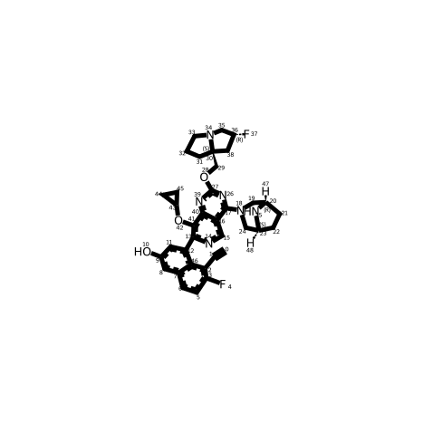 C#Cc1c(F)ccc2cc(O)cc(-c3ncc4c(N5C[C@H]6CC[C@@H](C5)N6)nc(OC[C@@]56CCCN5C[C@H](F)C6)nc4c3OC3CC3)c12